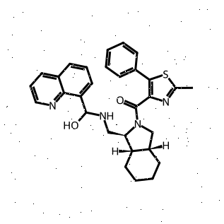 Cc1nc(C(=O)N2C[C@@H]3CCCC[C@@H]3[C@H]2CNC(O)c2cccc3cccnc23)c(-c2ccccc2)s1